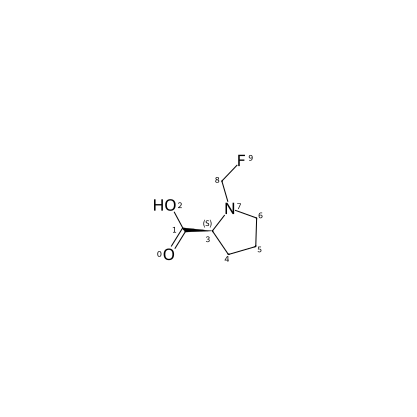 O=C(O)[C@@H]1CCCN1CF